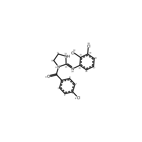 O=C(c1ccc(Cl)cc1)N1CCNC1=Nc1cccc(Cl)c1Cl